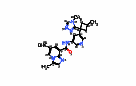 Cc1cnc2c(C(=O)Nc3cncc(C4(c5nncn5C)CC(C)C4)c3)cc(C=O)cn12